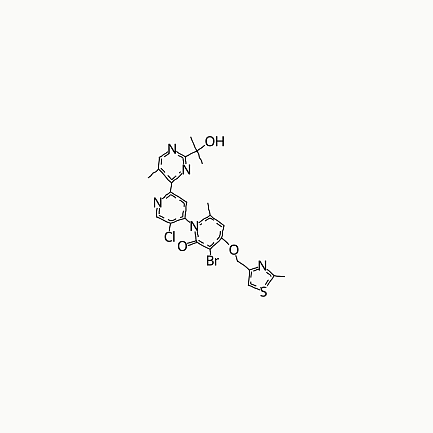 Cc1nc(COc2cc(C)n(-c3cc(-c4nc(C(C)(C)O)ncc4C)ncc3Cl)c(=O)c2Br)cs1